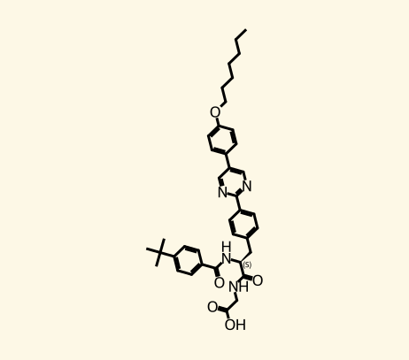 CCCCCCCOc1ccc(-c2cnc(-c3ccc(C[C@H](NC(=O)c4ccc(C(C)(C)C)cc4)C(=O)NCC(=O)O)cc3)nc2)cc1